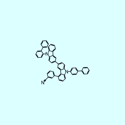 N#Cc1cccc(-c2cccc3c2c2cc(-c4ccc5c(c4)c4ccccc4n5-c4ccccc4-c4ccccc4)ccc2n3-c2ccc(-c3ccccc3)cc2)c1